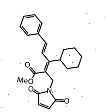 COC(=O)C(CN1C(=O)C=CC1=O)=C(C=Cc1ccccc1)C1CCCCC1